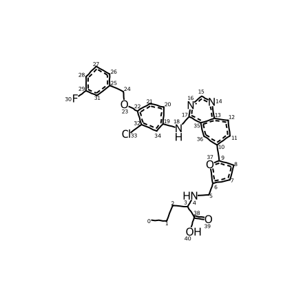 CCCC(NCc1ccc(-c2ccc3ncnc(Nc4ccc(OCc5cccc(F)c5)c(Cl)c4)c3c2)o1)C(=O)O